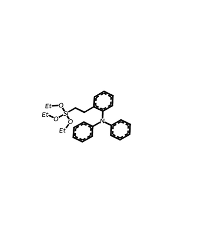 CCO[Si](CCc1ccccc1N(c1ccccc1)c1ccccc1)(OCC)OCC